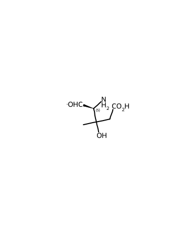 CC(O)(CC(=O)O)[C@H](N)[C]=O